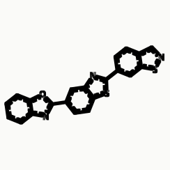 c1ccc2oc(-c3ccc4sc(-c5ccc6cnsc6c5)nc4c3)nc2c1